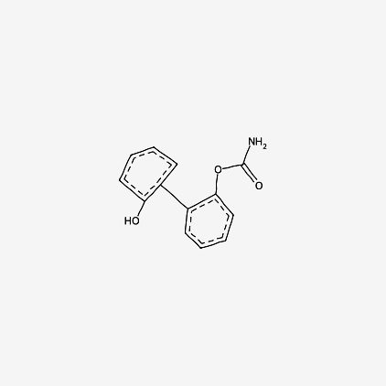 NC(=O)Oc1ccccc1-c1ccccc1O